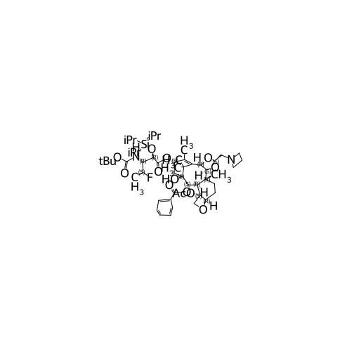 CC(=O)O[C@@]12CO[C@@H]1CC[C@@]1(C)[C@@H]3O[C@H](CN4CCC4)O[C@@H]3C3=C(C)[C@@H](OC(=O)[C@H](O[Si](C(C)C)(C(C)C)C(C)C)[C@@H](NC(=O)OC(C)(C)C)[C@H](C)F)C[C@@](O)([C@@H](OC(=O)c4ccccc4)[C@@H]12)C3(C)C